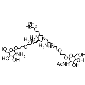 CC(=O)NC1C(OCCOCCN/C=C(\N)CN(CCCCCBP)C/C(N)=C/N(N)CCOCCOC2OC(CO)C(O)C(O)C2N)OC(CO)C(O)C1O